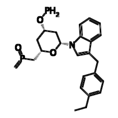 C=P(=O)C[C@@H]1C[C@H](OP)C[C@H](n2cc(Cc3ccc(CC)cc3)c3ccccc32)O1